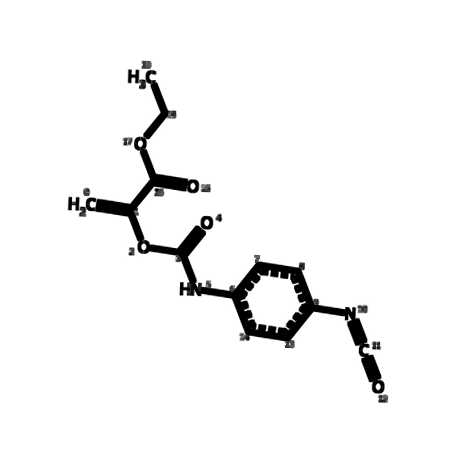 C=C(OC(=O)Nc1ccc(N=C=O)cc1)C(=O)OCC